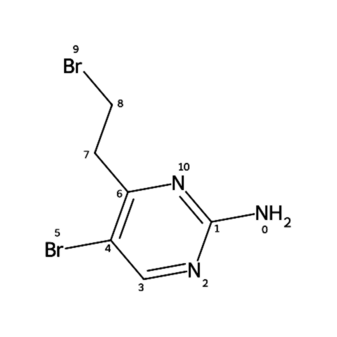 Nc1ncc(Br)c(CCBr)n1